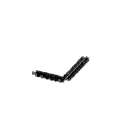 BrC(Br)(Br)C(Br)(Br)C(Br)(Br)C(Br)(Br)C(Br)(Br)C(Br)(Br)C(Br)(Br)C(Br)(Br)C(Br)(Br)C(Br)(Br)C(Br)(Br)C(Br)(Br)C(Br)(Br)C(Br)(Br)C(Br)(Br)C(Br)(Br)C(Br)(Br)C(Br)(Br)C(Br)(Br)CNCC(Br)(Br)C(Br)(Br)C(Br)(Br)C(Br)(Br)C(Br)(Br)C(Br)(Br)C(Br)(Br)C(Br)(Br)C(Br)(Br)C(Br)(Br)C(Br)(Br)C(Br)(Br)C(Br)(Br)C(Br)(Br)C(Br)(Br)C(Br)(Br)C(Br)(Br)C(Br)(Br)C(Br)(Br)Br